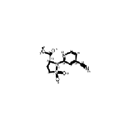 COC(=O)[C@@H]1CCS(=O)(=O)N1c1cc(C#N)ccn1